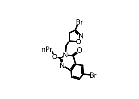 CCCOc1nc2ccc(Br)cc2c(=O)n1CC1CC(Br)=NO1